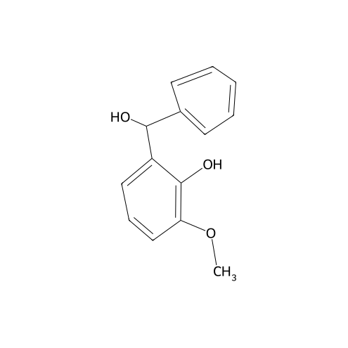 COc1cccc(C(O)c2ccccc2)c1O